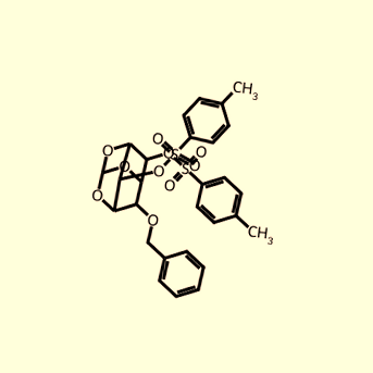 Cc1ccc(S(=O)(=O)OC2C3OC4OC(C3OCc3ccccc3)C(OS(=O)(=O)c3ccc(C)cc3)C2O4)cc1